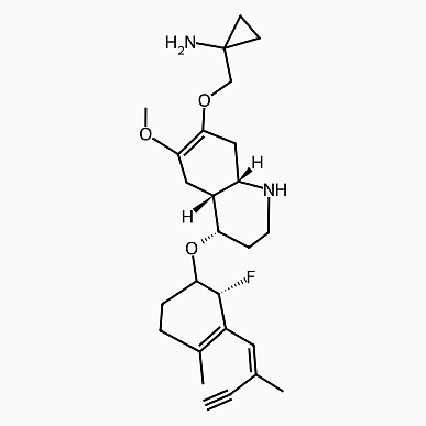 C#C/C(C)=C\C1=C(C)CCC(O[C@H]2CCN[C@H]3CC(OCC4(N)CC4)=C(OC)C[C@H]32)[C@@H]1F